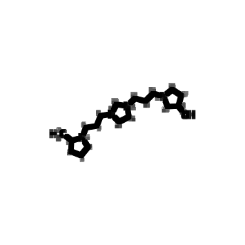 CC1CCCN1CCCN1[C]N(CCCN2CCC(O)C2)CC1